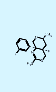 C[C@H]1C[C@@]2(F)CSC(N)=N[C@@]2(c2cccc(F)c2)CO1